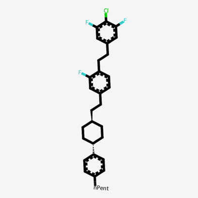 CCCCCc1ccc([C@H]2CC[C@H](CCc3ccc(CCc4cc(F)c(Cl)c(F)c4)c(F)c3)CC2)cc1